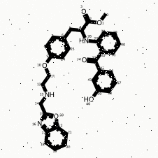 COC(=O)C(Cc1ccc(OCCNCc2nc3ccccc3o2)cc1)Nc1ccccc1C(=O)c1cccc(O)c1